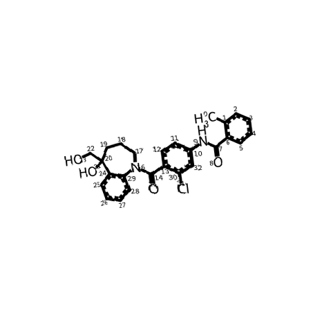 Cc1ccccc1C(=O)Nc1ccc(C(=O)N2CCCC(O)(CO)c3ccccc32)c(Cl)c1